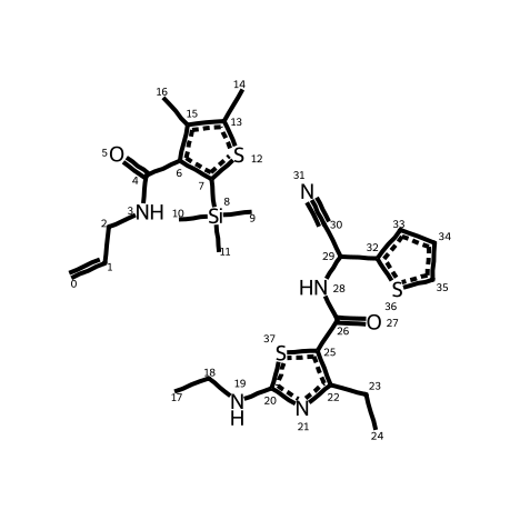 C=CCNC(=O)c1c([Si](C)(C)C)sc(C)c1C.CCNc1nc(CC)c(C(=O)NC(C#N)c2cccs2)s1